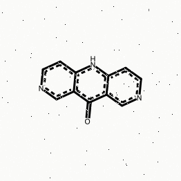 O=c1c2cnccc2[nH]c2ccncc12